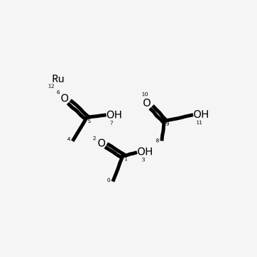 CC(=O)O.CC(=O)O.CC(=O)O.[Ru]